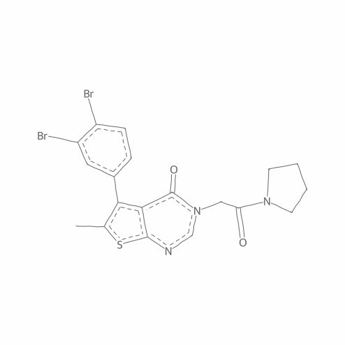 Cc1sc2ncn(CC(=O)N3CCCC3)c(=O)c2c1-c1ccc(Br)c(Br)c1